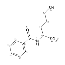 N#CCCCC(NC(=O)c1ccccc1)C(=O)O